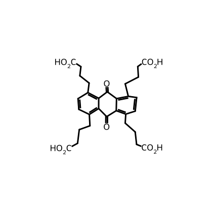 O=C(O)CCCc1ccc(CCCC(=O)O)c2c1C(=O)c1c(CCCC(=O)O)ccc(CCCC(=O)O)c1C2=O